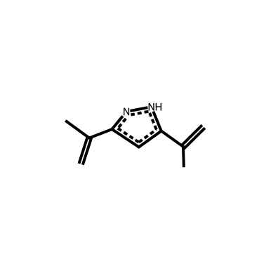 C=C(C)c1cc(C(=C)C)[nH]n1